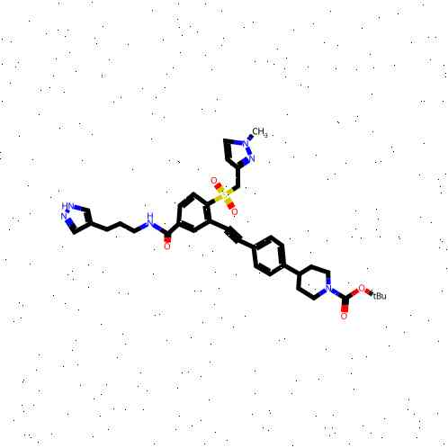 Cn1ccc(CS(=O)(=O)c2ccc(C(=O)NCCCc3cn[nH]c3)cc2C#Cc2ccc(C3CCN(C(=O)OC(C)(C)C)CC3)cc2)n1